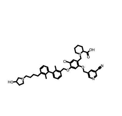 Cc1c(CCCCN2CCC(O)C2)cccc1-c1cccc(COc2cc(OCc3cncc(C#N)c3)c(CN3CCCCC3C(=O)O)cc2Cl)c1C